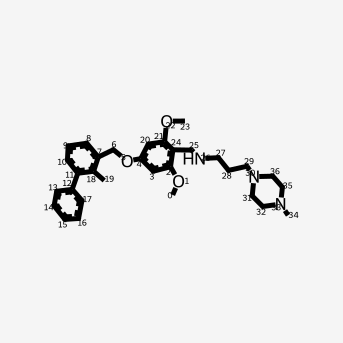 COc1cc(OCc2cccc(-c3ccccc3)c2C)cc(OC)c1CNCCCN1CCN(C)CC1